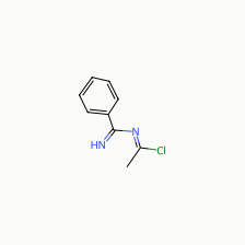 C/C(Cl)=N\C(=N)c1ccccc1